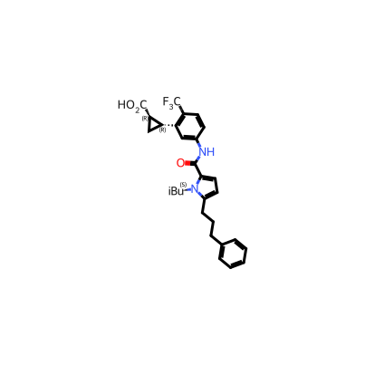 CC[C@H](C)n1c(CCCc2ccccc2)ccc1C(=O)Nc1ccc(C(F)(F)F)c([C@@H]2C[C@H]2C(=O)O)c1